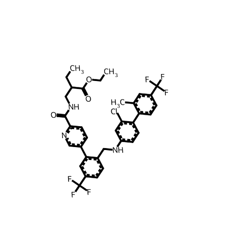 CCOC(=O)C(CC)CNC(=O)c1ccc(-c2cc(C(F)(F)F)ccc2CNc2ccc(-c3ccc(C(F)(F)F)cc3C)c(Cl)c2)cn1